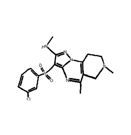 CNc1nn2c3c(c(C)nc2c1S(=O)(=O)c1cccc(Cl)c1)CN(C)CC3